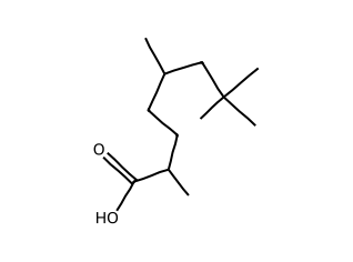 CC(CCC(C)C(=O)O)CC(C)(C)C